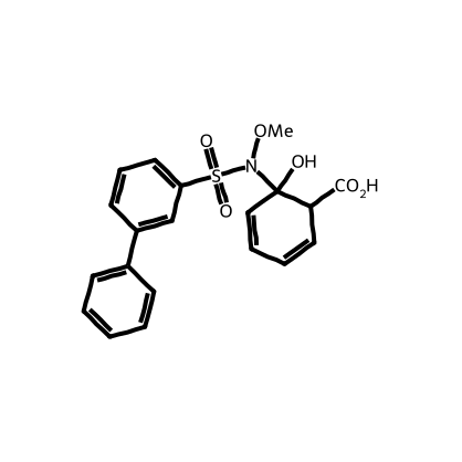 CON(C1(O)C=CC=CC1C(=O)O)S(=O)(=O)c1cccc(-c2ccccc2)c1